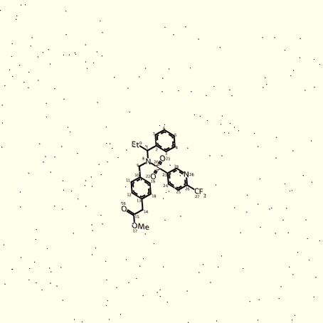 CCC(c1ccccc1)N(Cc1ccc(CC(=O)OC)cc1)S(=O)(=O)c1ccc(C(F)(F)F)nc1